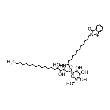 CCCCCCCCCCCCCC[C@@H](O)[C@@H](O)[C@H](CO[C@H]1O[C@H](CO)[C@H](O)[C@H](O)[C@H]1O)NC(=O)CCCCCCCCCCCNC(=O)c1ccccc1F